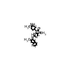 Cc1cc2ncccc2cc1Nc1ncc2c(n1)n(C1CCC(C)(N)CC1)c(=O)n2C